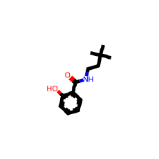 CC(C)(C)CCNC(=O)c1ccccc1O